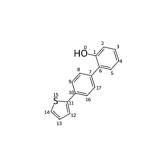 Oc1ccccc1-c1ccc(-c2cccs2)cc1